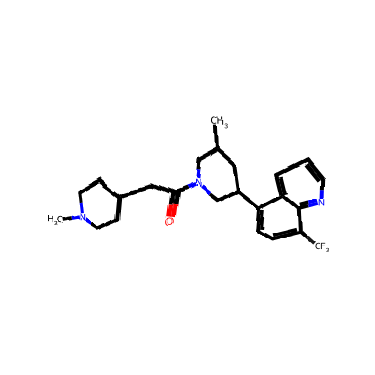 CC1CC(c2ccc(C(F)(F)F)c3ncccc23)CN(C(=O)CC2CCN(C)CC2)C1